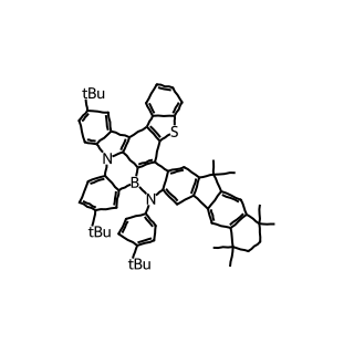 CC(C)(C)c1ccc(N2B3c4cc(C(C)(C)C)ccc4-n4c5ccc(C(C)(C)C)cc5c5c6c(sc7ccccc76)c(c3c54)-c3cc4c(cc32)-c2cc3c(cc2C4(C)C)C(C)(C)CCC3(C)C)cc1